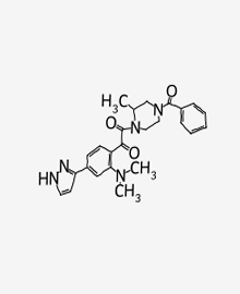 CC1CN(C(=O)c2ccccc2)CCN1C(=O)C(=O)c1ccc(-c2cc[nH]n2)cc1N(C)C